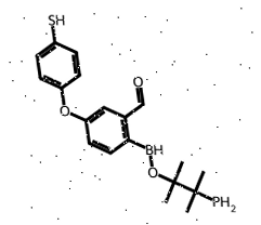 CC(C)(P)C(C)(C)OBc1ccc(Oc2ccc(S)cc2)cc1C=O